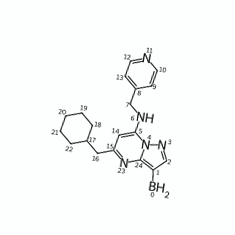 Bc1cnn2c(NCc3ccncc3)cc(CC3CCCCC3)nc12